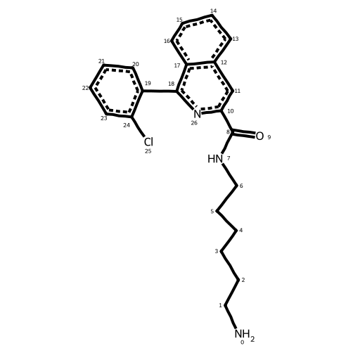 NCCCCCCNC(=O)c1cc2ccccc2c(-c2ccccc2Cl)n1